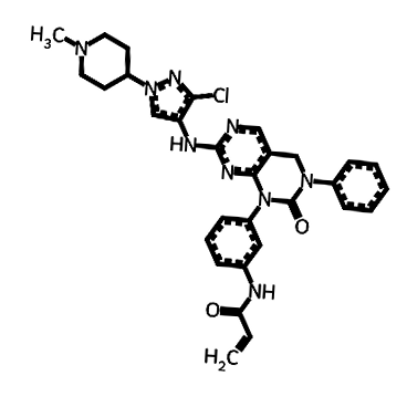 C=CC(=O)Nc1cccc(N2C(=O)N(c3ccccc3)Cc3cnc(Nc4cn(C5CCN(C)CC5)nc4Cl)nc32)c1